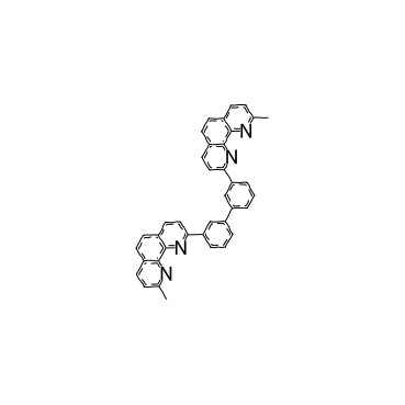 Cc1ccc2ccc3ccc(-c4cccc(-c5cccc(-c6ccc7ccc8ccc(C)nc8c7n6)c5)c4)nc3c2n1